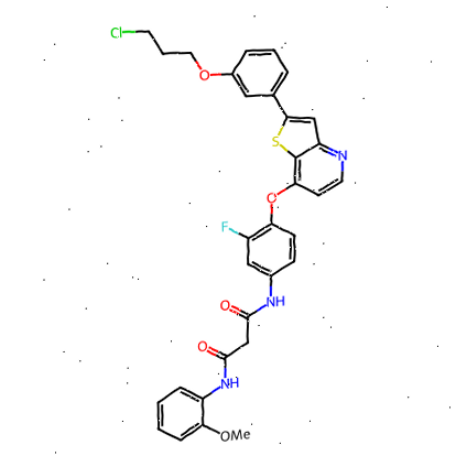 COc1ccccc1NC(=O)CC(=O)Nc1ccc(Oc2ccnc3cc(-c4cccc(OCCCCl)c4)sc23)c(F)c1